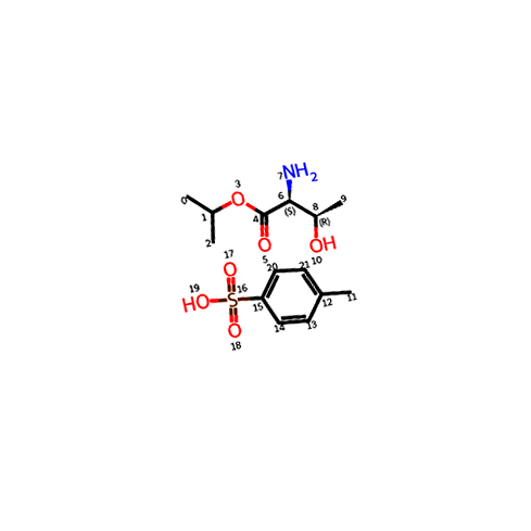 CC(C)OC(=O)[C@@H](N)[C@@H](C)O.Cc1ccc(S(=O)(=O)O)cc1